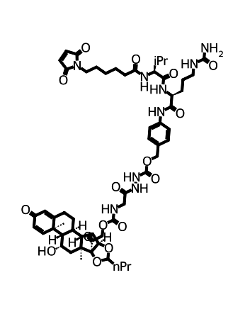 CCCC1O[C@@H]2C[C@H]3[C@@H]4CCC5=CC(=O)C=C[C@]5(C)[C@H]4[C@@H](O)C[C@]3(C)[C@]2(C(=O)COC(=O)NCC(=O)NNC(=O)OCc2ccc(NC(=O)[C@H](CCCNC(N)=O)NC(=O)[C@@H](NC(=O)CCCCCN3C(=O)C=CC3=O)C(C)C)cc2)O1